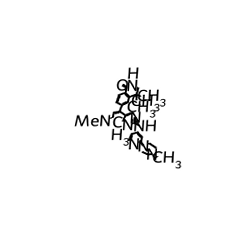 CN[C@H](C)/C=C(/c1ccc2c(c1)C(C)(C)CNC2=O)c1cnc(Nc2ccnc(N3CCN(C)CC3)c2)nc1C